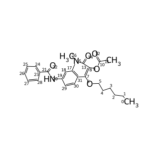 CCCCCCOc1c(OC(C)=O)c(=O)n(C)c2cc(NC(=O)c3ccccc3)ccc12